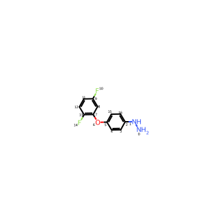 NNc1ccc(Oc2cc(F)ccc2F)cc1